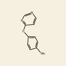 CC(C)(C)c1ccc(Oc2ccncn2)cc1